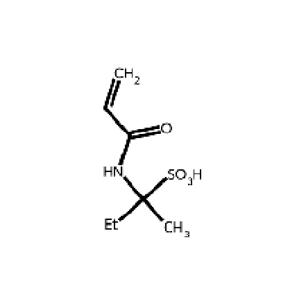 C=CC(=O)NC(C)(CC)S(=O)(=O)O